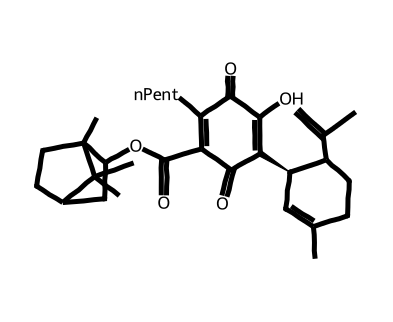 C=C(C)C1CCC(C)=C[C@H]1C1=C(O)C(=O)C(CCCCC)=C(C(=O)OC2CC3CCC2(C)C3(C)C)C1=O